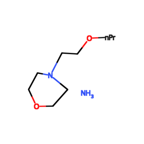 CCCOCCN1CCOCC1.N